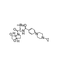 CC[C@H](C)[C@H](NC(=O)c1ccc(N2CCN(C3CC3)CC2)cc1)C(=O)N1CC[C@H]2OCC(=O)[C@H]21